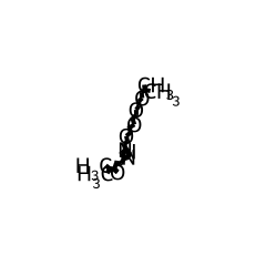 CC(C)COCCOCCOCCOCCn1cc(CCC(=O)C(C)C)nn1